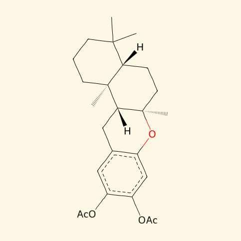 CC(=O)Oc1cc2c(cc1OC(C)=O)O[C@]1(C)CC[C@H]3C(C)(C)CCC[C@]3(C)[C@H]1C2